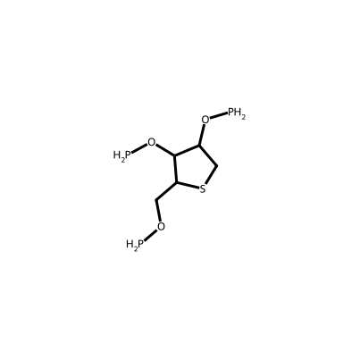 POCC1SCC(OP)C1OP